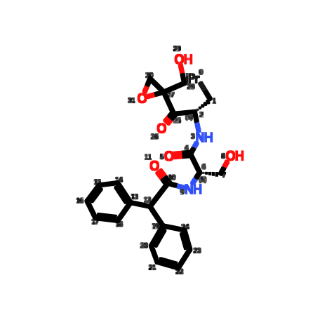 CC(C)C[C@H](NC(=O)[C@H](CO)NC(=O)C(c1ccccc1)c1ccccc1)C(=O)C1(CO)CO1